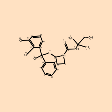 CC(C)(CO)NC(=O)N1CCC1OC(Cl)(c1ccccc1)c1cccc(Cl)c1Cl